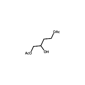 CC(=O)OCCC(O)COC(C)=O